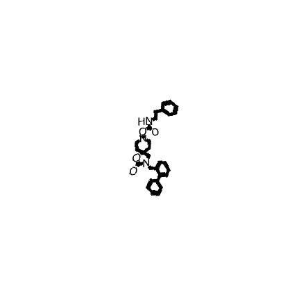 O=C(NCCc1ccccc1)ON1CCC2(CC1)CN(Cc1ccccc1-c1ccccc1)C(=O)O2